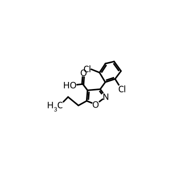 CCCc1onc(-c2c(Cl)cccc2Cl)c1C(=O)O